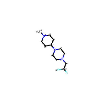 CN1CCC(N2CCN(CC(F)F)CC2)CC1